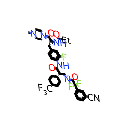 CCC(=O)N[C@H](Cc1ccc(NC(=O)C(/C=N/C(=O)C(F)(F)c2cccc(C#N)c2)[C@H]2CC[C@H](C(F)(F)F)CC2)c(F)c1)C(=O)N1CCN(C)CC1